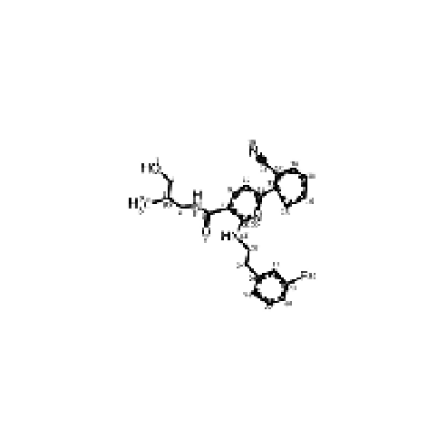 C[C@@H](CO)CNC(=O)c1ccc(-c2ccccc2C#N)nc1NCCc1cccc(F)c1